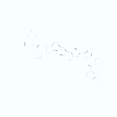 CC[C@H]1CC[C@@H](c2nc3ccc4cc5c(cc4c3[nH]2)OCc2cc(-c3cnc([C@@H]4CC[C@H](C)N4C(=O)[C@@H](NC(=O)OC)C(C)C)[nH]3)ccc2-5)N1C(=O)C(NC(=O)OC)[C@H]1CCCOC1